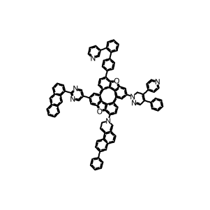 C1=NN(c2cc3oc4c(-c5ccc(-c6ccccc6-c6cccnc6)cc5)ccc5c6cc(-c7cnc(-c8cccc9cc%10ccccc%10cc89)nc7)cc7oc8c(N9C=c%10ccc%11cc(-c%12ccccc%12)ccc%11c%10=CC9)ccc(c(c2)c3c45)c8c76)CC(c2ccncc2)=C1c1ccccc1